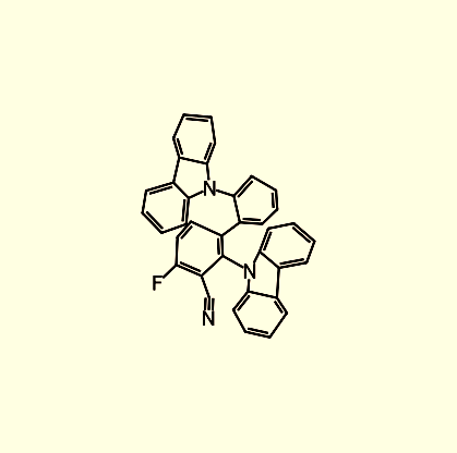 N#Cc1c(F)ccc(-c2ccccc2-n2c3ccccc3c3ccccc32)c1-n1c2ccccc2c2ccccc21